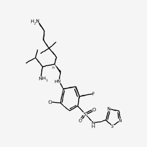 CC(C)C(N)[C@H](CNc1cc(F)c(S(=O)(=O)Nc2ncns2)cc1Cl)CC(C)(C)CCN